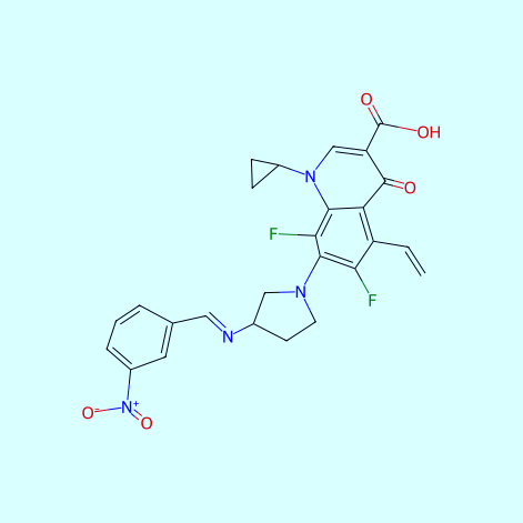 C=Cc1c(F)c(N2CCC(N=Cc3cccc([N+](=O)[O-])c3)C2)c(F)c2c1c(=O)c(C(=O)O)cn2C1CC1